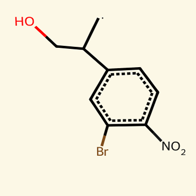 [CH2]C(CO)c1ccc([N+](=O)[O-])c(Br)c1